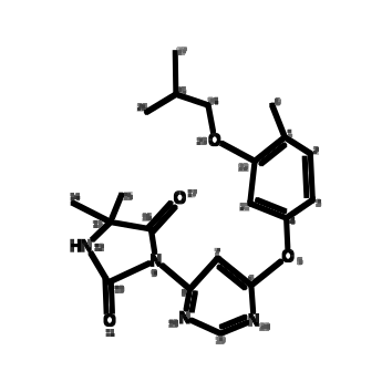 Cc1ccc(Oc2cc(N3C(=O)NC(C)(C)C3=O)ncn2)cc1OCC(C)C